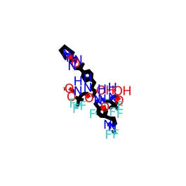 COC(=O)NC(C(=O)NC(Cc1ccc(-c2cnc(N3CC4CCC(C3)N4C3COC3)nc2)cc1)C(O)CN(Cc1c(F)cc(-c2ccn(C(F)F)n2)cc1F)NC(=O)C(NC(=O)O)C(C)(C)C(F)(F)F)C(C)(C)C(F)(F)F